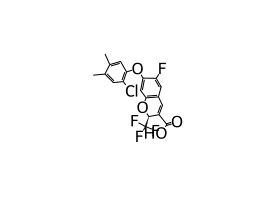 Cc1cc(Cl)c(Oc2cc3c(cc2F)C=C(C(=O)O)[C@@H](C(F)(F)F)O3)cc1C